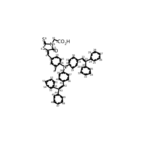 Cc1cc(C=C2SC(=S)N(CC(=O)O)C2=O)ccc1N(c1ccc(C=C(c2ccccc2)c2ccccc2)cc1)c1ccc(C=C(c2ccccc2)c2ccccc2)cc1